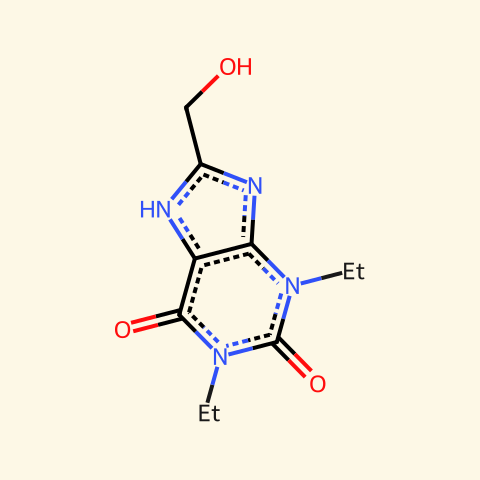 CCn1c(=O)c2[nH]c(CO)nc2n(CC)c1=O